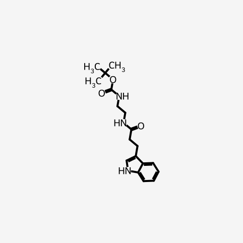 CC(C)(C)OC(=O)NCCNC(=O)CCc1c[nH]c2ccccc12